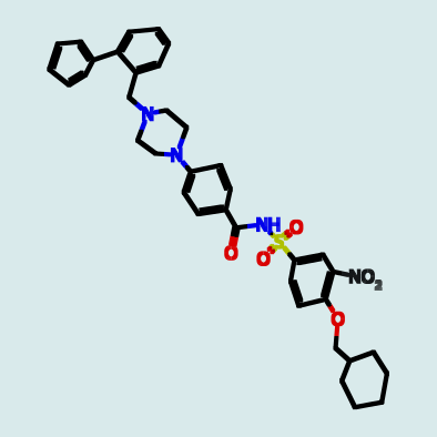 O=C(NS(=O)(=O)c1ccc(OCC2CCCCC2)c([N+](=O)[O-])c1)c1ccc(N2CCN(Cc3ccccc3-c3ccccc3)CC2)cc1